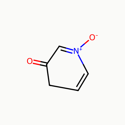 O=C1C=[N+]([O-])C=CC1